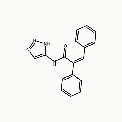 O=C(NC1=C[N+]=NN1)C(=Cc1ccccc1)c1ccccc1